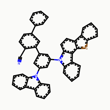 N#Cc1ccc(-c2ccccc2)cc1-c1cc(-n2c3ccccc3c3ccccc32)cc(-n2c3ccccc3c3c4sc5ccccc5c4ccc32)c1